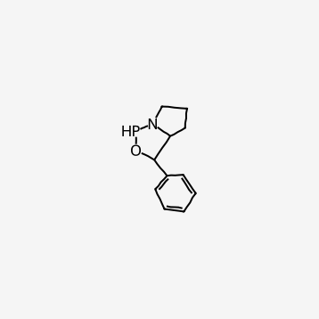 c1ccc(C2OPN3CCCC23)cc1